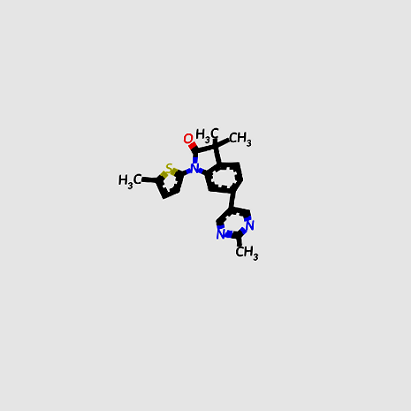 Cc1ncc(-c2ccc3c(c2)N(c2ccc(C)s2)C(=O)C3(C)C)cn1